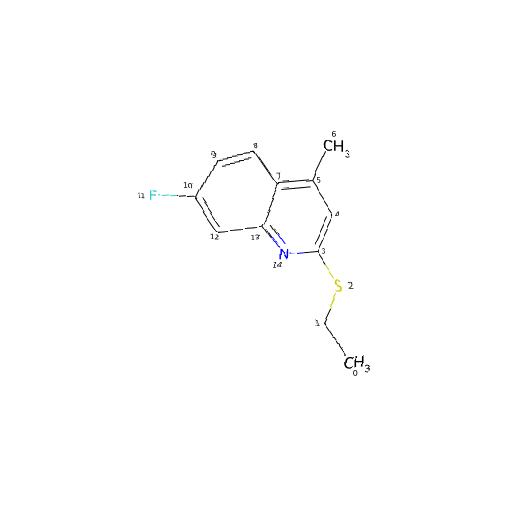 CCSc1cc(C)c2ccc(F)cc2n1